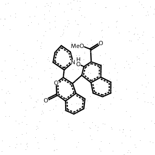 COC(=O)c1cc2ccccc2c(-c2c(-c3ccccn3)oc(=O)c3ccccc23)c1O